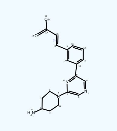 NC1CCN(c2cncc(-c3cccc(/C=C/C(=O)O)c3)n2)CC1